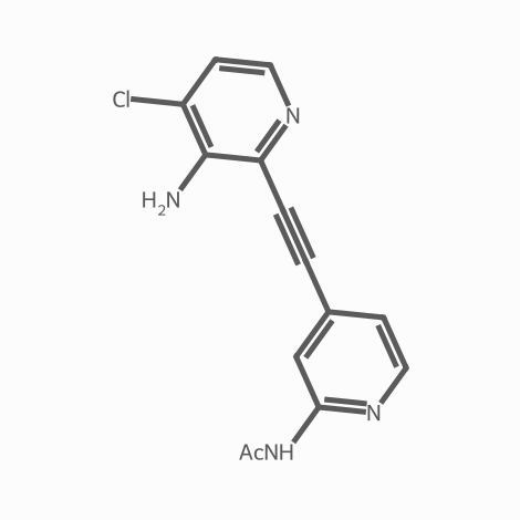 CC(=O)Nc1cc(C#Cc2nccc(Cl)c2N)ccn1